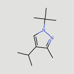 Cc1nn(C(C)(C)C)cc1C(C)C